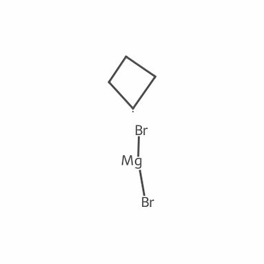 [Br][Mg][Br].[CH]1CCC1